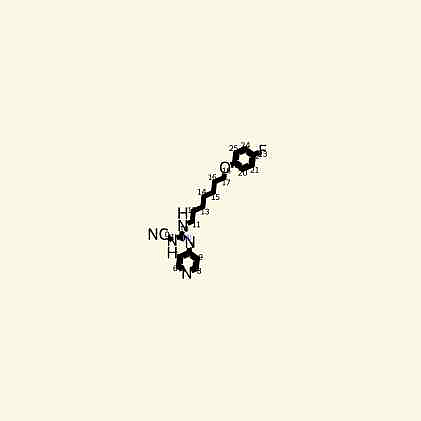 N#CN/C(=N\c1ccncc1)NCCCCCCCOc1ccc(F)cc1